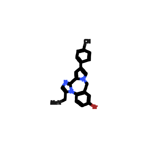 CNCc1cnc2n1-c1ccc(Br)cc1Cn1cc(-c3ccc(C#N)cc3)cc1-2